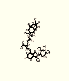 CCC1(NC/C(I)=C/SC(CSc2cccc3c2CN(C2CCC(=O)NC2=O)C3=O)=C(C)C)CC2CC(C)(C)CC(C)(C2)C1